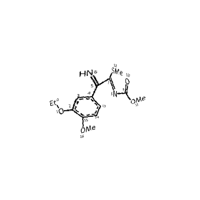 CCOc1cc(C(=N)C(=NC(=O)OC)SC)ccc1OC